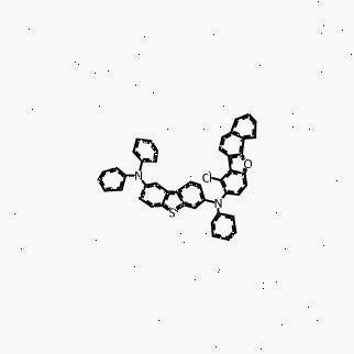 Clc1c(N(c2ccccc2)c2ccc3c(c2)sc2ccc(N(c4ccccc4)c4ccccc4)cc23)ccc2oc3c4ccccc4ccc3c12